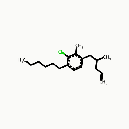 C=CCC(C)Cc1ccc(CCCCCC)c(Cl)c1C